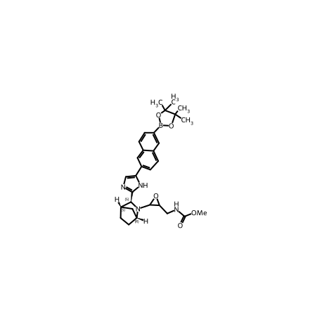 COC(=O)NCC1OC1N1[C@@H]2CC[C@@H](C2)[C@H]1c1ncc(-c2ccc3cc(B4OC(C)(C)C(C)(C)O4)ccc3c2)[nH]1